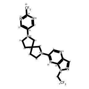 FC(F)(F)Cn1ncc2ncc(N3CCC4(CCN(c5cnc(C(F)(F)F)nc5)C4)C3)nc21